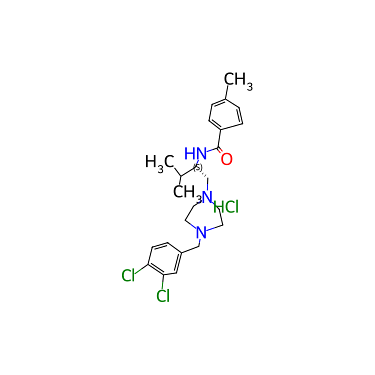 Cc1ccc(C(=O)N[C@H](CN2CCN(Cc3ccc(Cl)c(Cl)c3)CC2)C(C)C)cc1.Cl